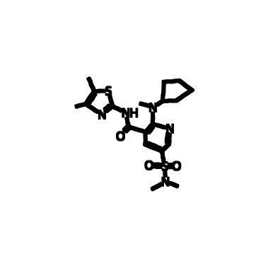 Cc1nc(NC(=O)c2cc(S(=O)(=O)N(C)C)cnc2N(C)C2CCCC2)sc1C